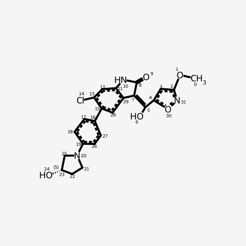 COc1cc(C(O)=C2C(=O)Nc3cc(Cl)c(-c4ccc(N5CC[C@H](O)C5)cc4)cc32)on1